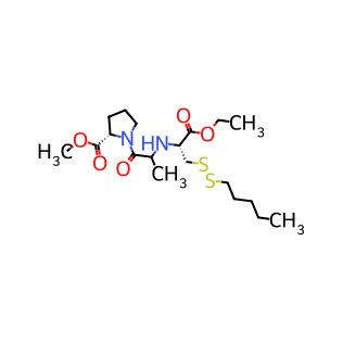 CCCCCSSC[C@H](NC(C)C(=O)N1CCC[C@H]1C(=O)OC)C(=O)OCC